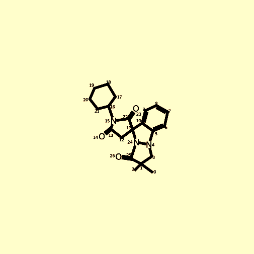 CC1(C)CN2c3ccccc3C3(CC(=O)N(C4CCCCC4)C3=O)N2C1=O